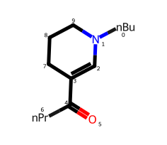 CCCCN1C=C(C(=O)CCC)CCC1